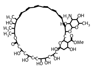 COC(=O)C1C(O)CC2(O)CC(O)CC(O)C(O)CCC(O)CC(O)CC(=O)OC(C)C(C)C(O)C(C)/C=C/C=C/C=C/C=C/C=C/C=C/C=C/C(OC3OC(C)C(O)C(N)C3O)CC1O2